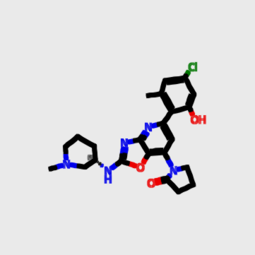 Cc1cc(Cl)cc(O)c1-c1cc(N2CCCC2=O)c2oc(N[C@H]3CCCN(C)C3)nc2n1